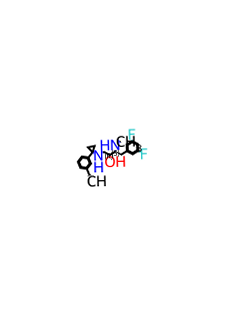 C#Cc1cccc(C2(NC[C@@H](O)[C@H](Cc3cc(F)cc(F)c3)NC)CC2)c1